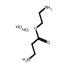 Cl.Cl.NCCOC(=O)CCN